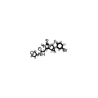 Cn1c(CC(=O)N[C@H]2CCOC2)c2n(c1=S)C[C@@]1(c3cc(Br)ccc3F)CC21